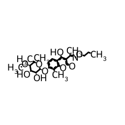 CCCO/N=C(\C)c1c(O)c2ccc(O[C@@H]3OC(C)(C)[C@H](OC)[C@@H](O)[C@H]3O)c(C)c2oc1=O